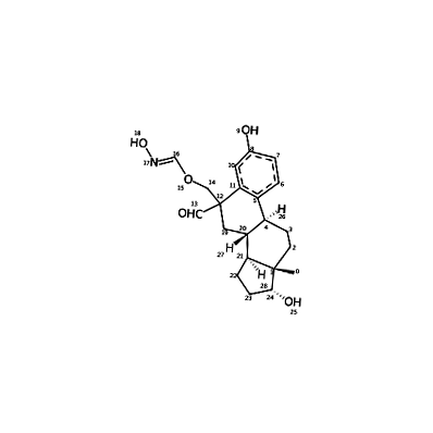 C[C@]12CC[C@@H]3c4ccc(O)cc4C(C=O)(COC=NO)C[C@H]3[C@@H]1CC[C@H]2O